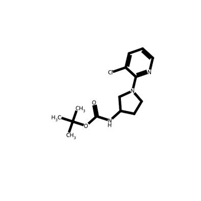 CC(C)(C)OC(=O)NC1CCN(c2ncccc2Cl)C1